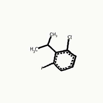 CC(C)c1c(Cl)cccc1I